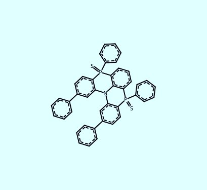 S=P1(c2ccccc2)c2ccc(-c3ccccc3)cc2N2c3cc(-c4ccccc4)ccc3P(=S)(c3ccccc3)c3cccc1c32